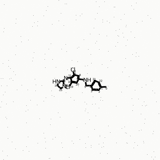 Cc1ccc(CNc2cc(Cl)c(N=C3NCCN3)c(Cl)c2)cc1